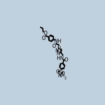 CCCOC(=O)c1ccc(NC(=O)Cn2cc(CNC(=O)c3ccc(S(N)(=O)=O)cc3)nn2)cc1